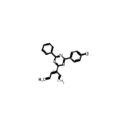 C=C/C=C(\C=C)c1nc(-c2ccccc2)nc(-c2ccc(Cl)cc2)n1